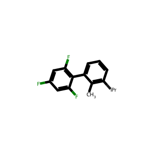 Cc1c(-c2c(F)cc(F)cc2F)cccc1C(C)C